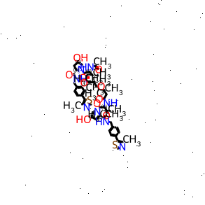 CC(=O)N[C@H](C(=O)N1C[C@H](O)C[C@H]1C(=O)NCc1ccc(-c2scnc2C)cc1OC(C)(C)CCOC(C)(C)CC(=O)N[C@H](C(=O)N1C[C@H](O)C[C@H]1C(=O)NCc1ccc(-c2scnc2C)cc1)C(C)(C)C)C(C)(C)C